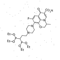 CCOP(OCC)C(CCN1CCN(c2c(F)cc3c(=O)c(C(=O)O)cn4c3c2OCC4C)CC1)P(OCC)OCC